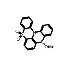 COB1c2ccccc2N2c3ccccc3S(=O)(=O)c3cccc1c32